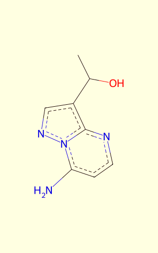 CC(O)c1cnn2c(N)ccnc12